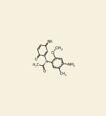 COc1cc(N)c(C)cc1N(C(C)=O)C1=CC(=N)C=CC1=O